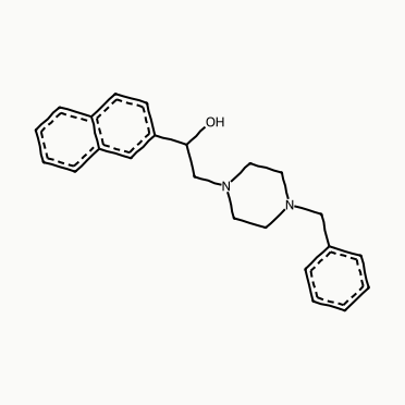 OC(CN1CCN(Cc2ccccc2)CC1)c1ccc2ccccc2c1